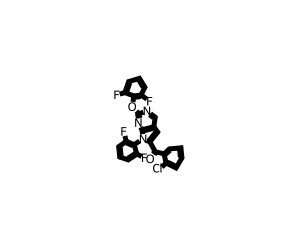 O=C(c1ccccc1Cl)c1cc2cnc(Oc3c(F)cccc3F)nc2n1-c1c(F)cccc1F